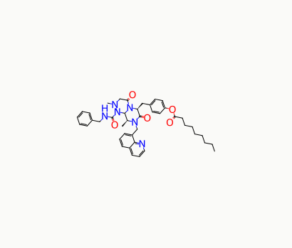 CCCCCCCCC(=O)Oc1ccc(C[C@H]2C(=O)N(Cc3cccc4cccnc34)[C@@H](C)C3N2C(=O)CN(C)N3C(=O)NCc2ccccc2)cc1